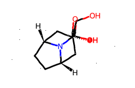 O=C(O)N1[C@@H]2CC[C@H]1C[C@](O)(CO)C2